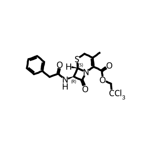 CC1=C(C(=O)OCC(Cl)(Cl)Cl)N2C(=O)[C@@H](NC(=O)Cc3ccccc3)[C@@H]2SC1